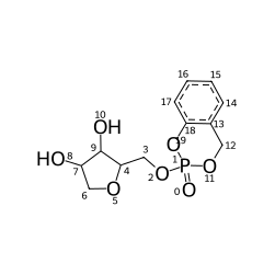 O=P1(OCC2OCC(O)C2O)OCc2ccccc2O1